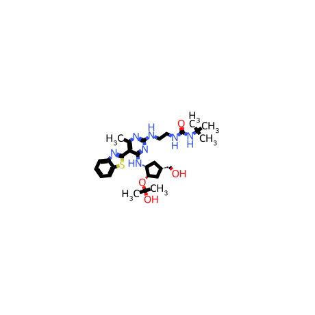 Cc1nc(NCCNC(=O)NC(C)(C)C)nc(N[C@@H]2C[C@H](CO)C[C@H]2OC(C)(C)O)c1-c1nc2ccccc2s1